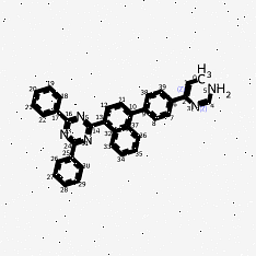 C/C=C(\N=C/N)c1ccc(-c2ccc(-c3nc(-c4ccccc4)nc(-c4ccccc4)n3)c3ccccc23)cc1